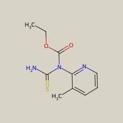 CCOC(=O)N(C(N)=S)c1ncccc1C